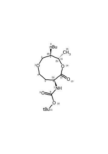 CCCC[C@@H]1COCC[C@H](NC(=O)OC(C)(C)C)C(=O)O[C@H]1C